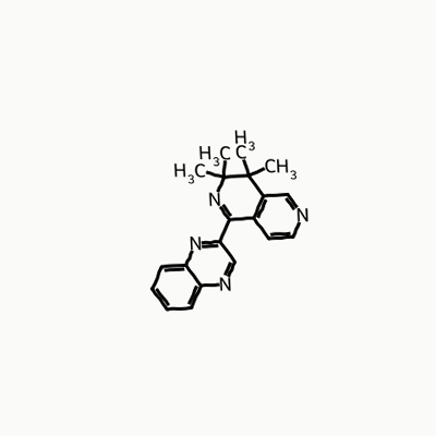 CC1(C)N=C(c2cnc3ccccc3n2)c2ccncc2C1(C)C